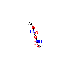 CC(=O)CCOCCNC(=O)CCOCCNC(=O)COC(C)C